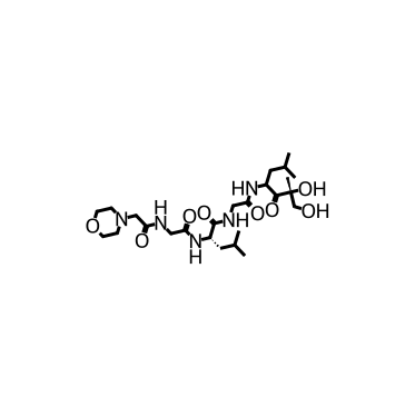 CC(C)CC(NC(=O)CNC(=O)[C@H](CC(C)C)NC(=O)CNC(=O)CN1CCOCC1)C(=O)[C@](C)(O)CO